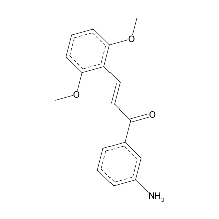 COc1cccc(OC)c1C=CC(=O)c1cccc(N)c1